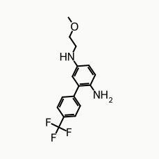 COCCNc1ccc(N)c(-c2ccc(C(F)(F)F)cc2)c1